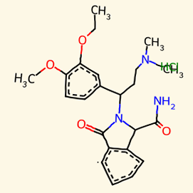 CCOc1cc(C(CCN(C)C)N2C(=O)c3[c]cccc3C2C(N)=O)ccc1OC.Cl